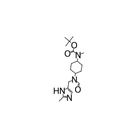 Cc1ncc(CN(C=O)C2CCC(N(C)C(=O)OC(C)(C)C)CC2)[nH]1